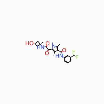 Cc1c(C(=O)Nc2cccc(C(F)F)c2)c(C)n(C)c1C(=O)C(=O)N[C@]1(C)C[C@H](O)C1